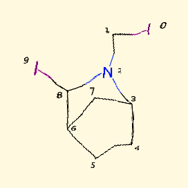 ICN1C2CCC(C2)C1I